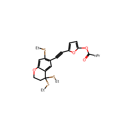 CCCC(=O)Oc1ccc(C#Cc2cc3c(cc2SCC)OCCC3(SCC)SCC)o1